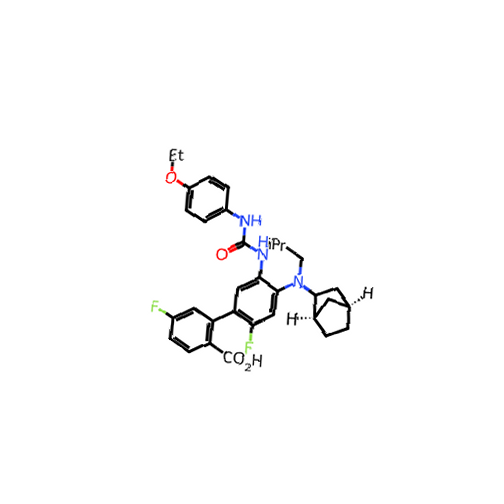 CCOc1ccc(NC(=O)Nc2cc(-c3cc(F)ccc3C(=O)O)c(F)cc2N(CC(C)C)C2C[C@H]3CC[C@@H]2C3)cc1